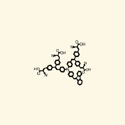 N#C/C(=C\c1ccc(C(=Cc2ccc(N(c3ccc(C=C(c4ccc(/C=C(\C#N)C(=O)O)cc4)c4ccc(/C=C(\C#N)C(=O)O)cc4)cc3)c3ccc(C=C4c5ccccc5-c5ccccc54)cc3)cc2)c2ccc(/C=C(\C#N)C(=O)O)cc2)cc1)C(=O)O